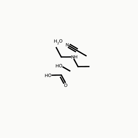 CC#N.CCNCC.CO.O.O=CO